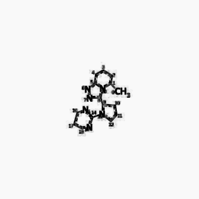 Cc1cccc2nnc(-c3cccn3-c3ncccn3)n12